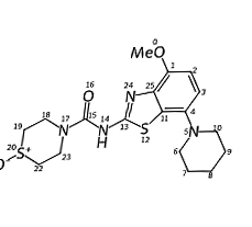 COc1ccc(N2CCCCC2)c2sc(NC(=O)N3CC[S+]([O-])CC3)nc12